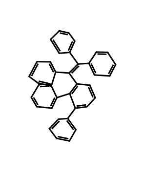 c1ccc(C(=C(c2ccccc2)c2cccc(-c3ccccc3)c2-c2ccccc2)c2ccccc2)cc1